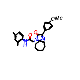 COc1ccc(C2=NC3(CCCCCC3)N(CC(=O)Nc3ccc(C)cc3C)C2=O)cc1